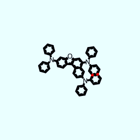 c1ccc(N(c2ccccc2)c2ccc3c(c2)oc2cc(N(c4ccccc4)c4ccccc4)c4cc(N(c5ccccc5)c5ccccc5)ccc4c23)cc1